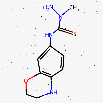 CN(N)C(=S)Nc1ccc2c(c1)OCCN2